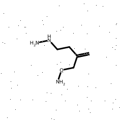 C=C(CCNN)CON